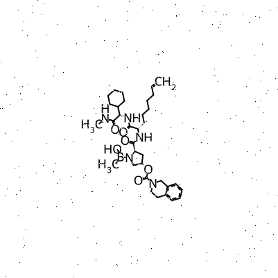 C=CCCCCC[C@H](NC(=O)[C@H]1C[C@H](OC(=O)N2CCc3ccccc3C2)CN1B(C)O)C(=O)N[C@H](C(=O)NC)C1CCCCC1